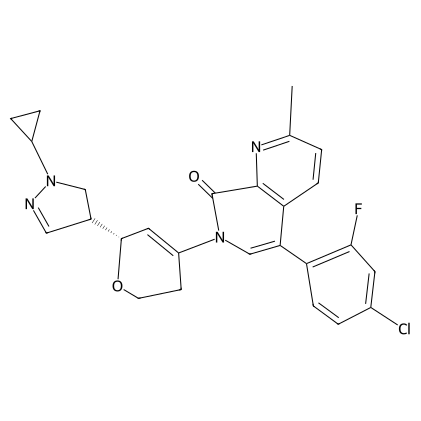 Cc1ccc2c(-c3ccc(Cl)cc3F)cn(C3=C[C@@H](C4C=NN(C5CC5)C4)OCC3)c(=O)c2n1